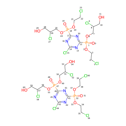 O=P(OCCCl)(OCC(Cl)CO)c1nc(Cl)nc(P(=O)(OCCCl)OCC(Cl)CO)n1.O=P(OCCCl)(OCCCl)c1nc(Cl)nc(P(=O)(OCC(Cl)CO)OCC(Cl)CO)n1